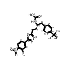 O=C(O)N[C@H](CCc1nnc(-c2ccc([N+](=O)[O-])c(F)c2)s1)Cc1ccc(C(F)(F)F)nc1